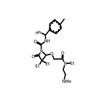 CCCC(NC(=O)N1C(=O)C(CC)(CC)C1OCC(=O)N(CC)CCNC)c1ccc(C)cc1